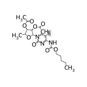 CCCCCOC(=O)Nc1nc(=O)n(C2OC(C)[C@@H](OC(C)=O)[C@H]2OC(C)=O)cc1F